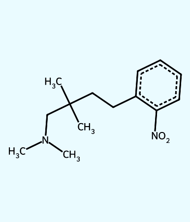 CN(C)CC(C)(C)CCc1ccccc1[N+](=O)[O-]